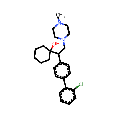 CN1CCN(CC(c2ccc(-c3ccccc3Cl)cc2)C2(O)CCCCC2)CC1